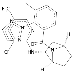 Cc1cccc(C(=O)N2[C@@H]3CC[C@H]2[C@H](Nc2ncc(C(F)(F)F)cc2Cl)C3)c1-n1nccn1